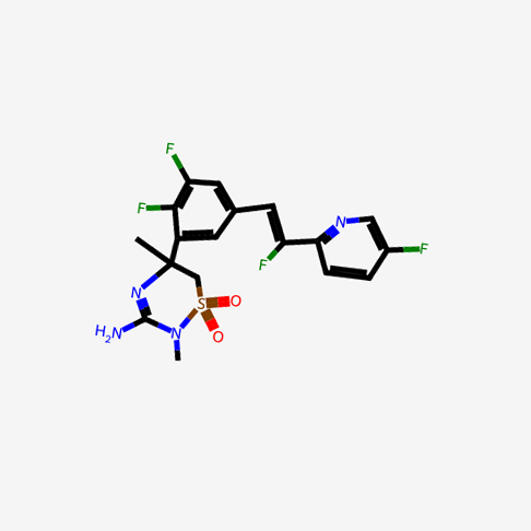 CN1C(N)=NC(C)(c2cc(C=C(F)c3ccc(F)cn3)cc(F)c2F)CS1(=O)=O